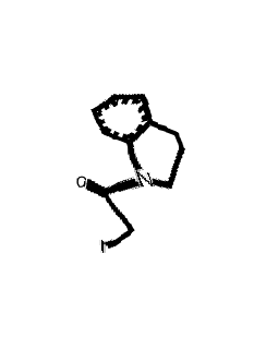 O=C(CI)N1CCCc2ccccc21